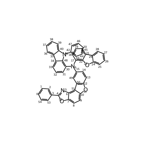 c1ccc(-c2nc3c(ccc4oc5ccc(N(c6cccc7c6oc6ccccc67)c6cccc7c8ccccc8n(-c8ccccc8)c67)cc5c43)o2)cc1